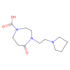 O=C(O)N1CCC(=O)N(CCN2CCCC2)CC1